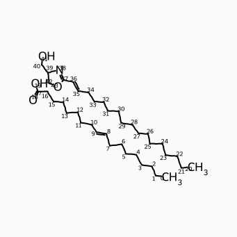 CCCCCCCCC=CCCCCCCCC(=O)O.CCCCCCCCCCCCCCCC=CC1=NC(CO)CO1